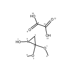 COC1(OC)CN1O.O=C(O)C(=O)O